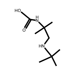 CC(C)(C)NCC(C)(C)NC(=O)O